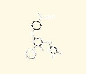 Cc1cc(Nc2nc(Sc3ccc(N(C)C(=O)O)cc3)nc(N3CCCCC3)c2C)n[nH]1